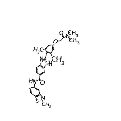 Cc1nc2cc(NC(=O)c3ccc4nc(-c5c(C)cc(OCC(=O)N(C)C)cc5C)[nH]c4c3)ccc2s1